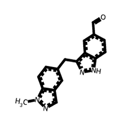 Cn1ncc2cc(Cc3n[nH]c4ccc(C=O)cc34)ccc21